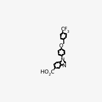 O=C(O)c1ccc2c(c1)ncn2-c1ccc(OCc2ccc(C(F)(F)F)cc2)cc1